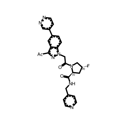 CC(=O)c1nn(CC(=O)N2C[C@H](F)C[C@H]2C(=O)NCc2ccncc2)c2ccc(-c3ccnnc3)cc12